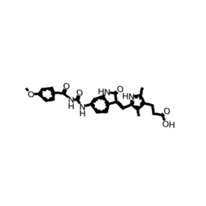 COc1ccc(C(=O)NC(=O)Nc2ccc3c(c2)NC(=O)C3=Cc2[nH]c(C)c(CCC(=O)O)c2C)cc1